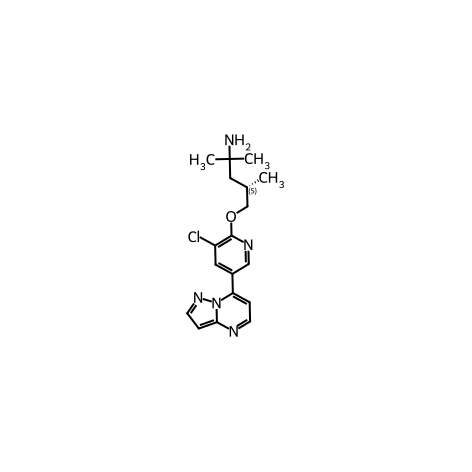 C[C@H](COc1ncc(-c2ccnc3ccnn23)cc1Cl)CC(C)(C)N